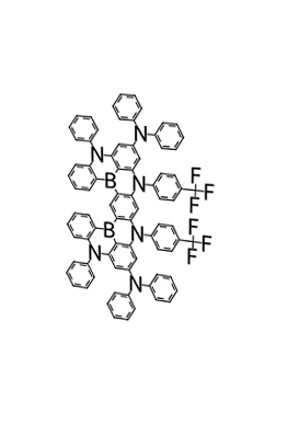 FC(F)(F)c1ccc(N2c3cc4c(cc3B3c5ccccc5N(c5ccccc5)c5cc(N(c6ccccc6)c6ccccc6)cc2c53)B2c3ccccc3N(c3ccccc3)c3cc(N(c5ccccc5)c5ccccc5)cc(c32)N4c2ccc(C(F)(F)F)cc2)cc1